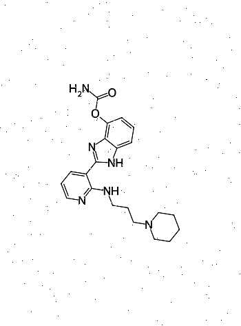 NC(=O)Oc1cccc2[nH]c(-c3cccnc3NCCCN3CCCCC3)nc12